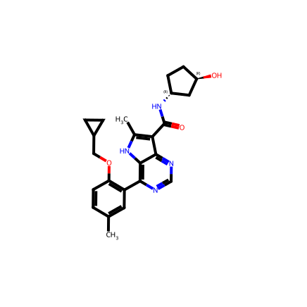 Cc1ccc(OCC2CC2)c(-c2ncnc3c(C(=O)N[C@@H]4CC[C@@H](O)C4)c(C)[nH]c23)c1